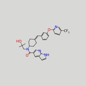 CC(C)(O)CN(C(=O)c1cnc2[nH]ccc2c1)C1CCC(=Cc2cccc(Oc3ccc(C(F)(F)F)cn3)c2)CC1